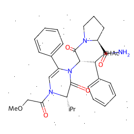 COCC(=O)N1C=C(c2ccccc2)N([C@H](C(=O)N2CCC[C@H]2C(N)=O)C(NC(C)=O)c2ccccc2)C(=O)[C@@H]1C(C)C